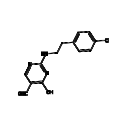 O=Cc1cnc(NCCc2ccc(Cl)cc2)nc1O